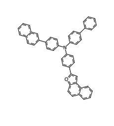 c1ccc(-c2ccc(N(c3ccc(-c4ccc5ccccc5c4)cc3)c3ccc(-c4cc5c(ccc6ccccc65)o4)cc3)cc2)cc1